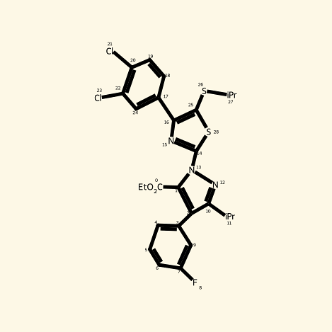 CCOC(=O)c1c(-c2cccc(F)c2)c(C(C)C)nn1-c1nc(-c2ccc(Cl)c(Cl)c2)c(SC(C)C)s1